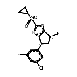 O=S(=O)(c1nc2n(n1)[C@H](c1cc(F)cc(Cl)c1)C[C@@H]2F)C1CC1